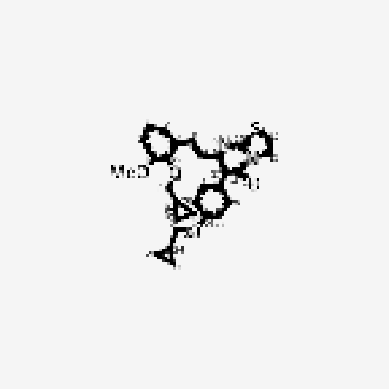 COc1cccc(C=Cc2nc3sccn3c(=O)c2-c2ccc(OCC3CC3)cc2)c1OCC1CC1